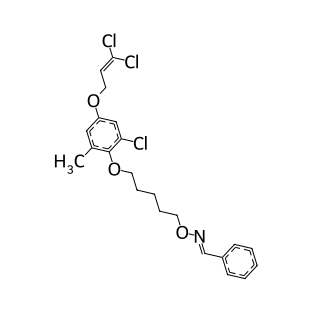 Cc1cc(OCC=C(Cl)Cl)cc(Cl)c1OCCCCCO/N=C/c1ccccc1